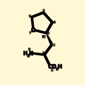 NC(C[C@H]1CCCO1)C(=O)O